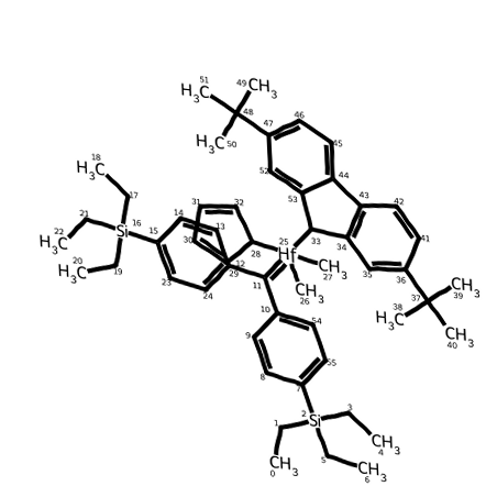 CC[Si](CC)(CC)c1ccc([C](c2ccc([Si](CC)(CC)CC)cc2)=[Hf]([CH3])([CH3])([CH]2C=CC=C2)[CH]2c3cc(C(C)(C)C)ccc3-c3ccc(C(C)(C)C)cc32)cc1